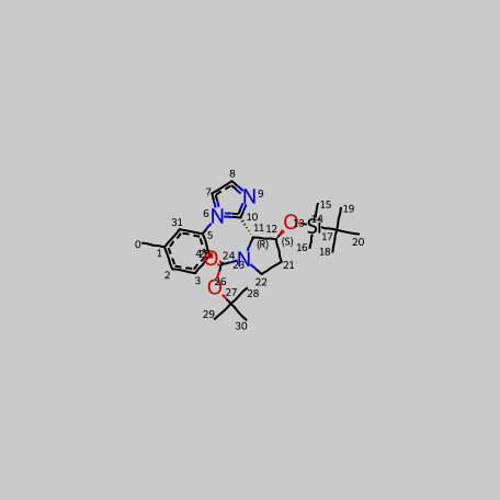 Cc1cccc(-n2ccnc2[C@@H]2[C@@H](O[Si](C)(C)C(C)(C)C)CCN2C(=O)OC(C)(C)C)c1